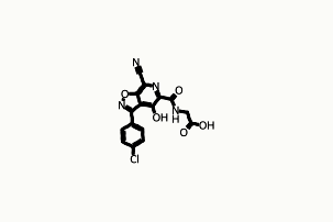 N#Cc1nc(C(=O)NCC(=O)O)c(O)c2c(-c3ccc(Cl)cc3)noc12